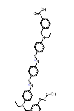 CCN(Cc1cccc(SOOO)c1)c1ccc(/N=N/c2ccc(/N=N/c3ccc(N(CC)Cc4cccc(S(=O)O)c4)cc3)cc2)cc1